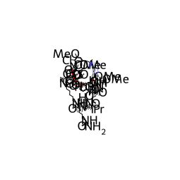 COCCNC(=O)[C@H](CCC(=O)N[C@H](CN[C@@H](CCCNC(N)=O)C(=O)NCCCCCC(=O)N(C)[C@@H](C)C(=O)O[C@H]1CC(=O)N(C)c2cc(cc(OC)c2Cl)C/C(C)=C/C=C/[C@@H](OC)C2(O)CC(OC(=O)N2)[C@@H](C)[C@@H]2O[C@@]12C)C(C)C)NC(=O)c1ccc(C(=O)C(CS(=O)(=O)CCOC)CS(=O)(=O)CCOC)cc1